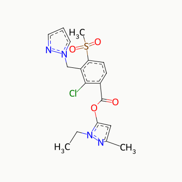 CCn1nc(C)cc1OC(=O)c1ccc(S(C)(=O)=O)c(Cn2cccn2)c1Cl